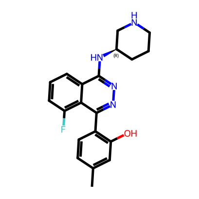 Cc1ccc(-c2nnc(N[C@@H]3CCCNC3)c3cccc(F)c23)c(O)c1